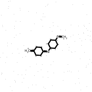 C=NC1CCC(N=C2CCC(=C)CC2)CC1